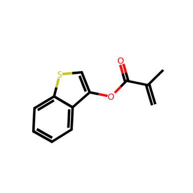 C=C(C)C(=O)Oc1csc2ccccc12